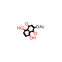 CC(=O)OC1=CC(=O)c2c(O)ccc(O)c2C1=O